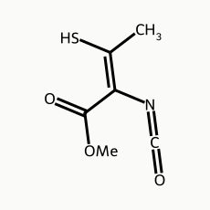 COC(=O)/C(N=C=O)=C(/C)S